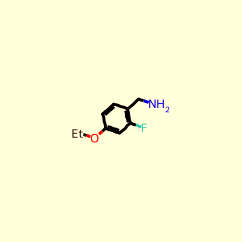 CCOc1ccc(CN)c(F)c1